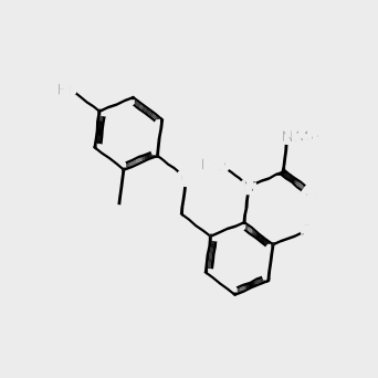 CCc1ccc(OCc2cccc(F)c2N(O)C(=O)NC)c(C)c1